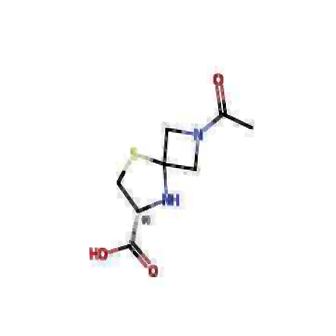 CC(=O)N1CC2(C1)N[C@H](C(=O)O)CS2